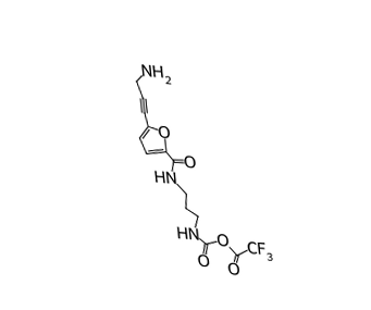 NCC#Cc1ccc(C(=O)NCCCNC(=O)OC(=O)C(F)(F)F)o1